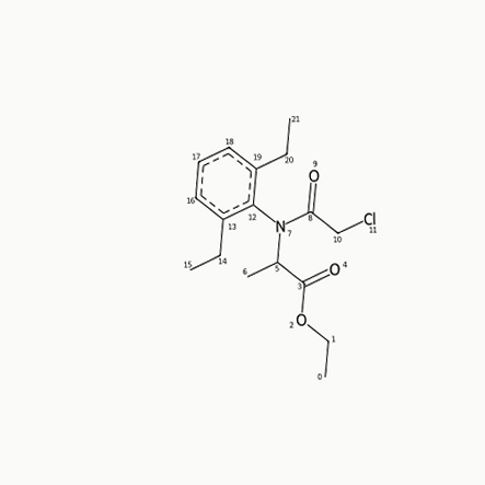 CCOC(=O)C(C)N(C(=O)CCl)c1c(CC)cccc1CC